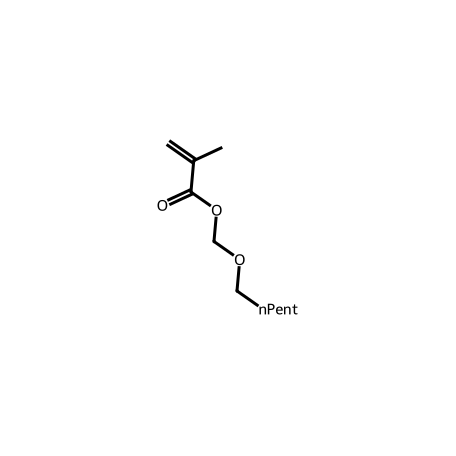 C=C(C)C(=O)OCOCCCCCC